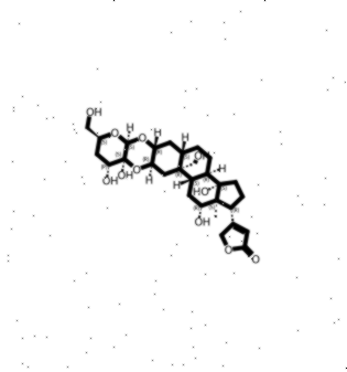 C[C@]12[C@H](O)C[C@H]3[C@@H](CC[C@H]4C[C@H]5O[C@@H]6O[C@H](CO)C[C@@H](O)[C@]6(O)O[C@@H]5C[C@@]43CO)[C@@]1(O)CC[C@@H]2C1=CC(=O)OC1